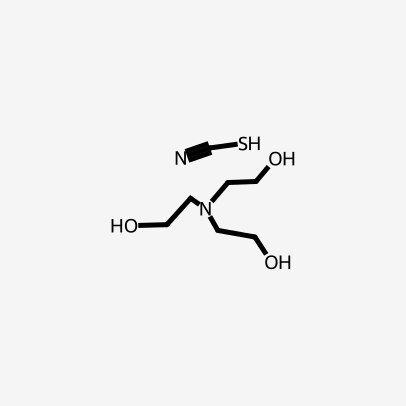 N#CS.OCCN(CCO)CCO